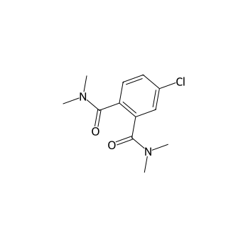 CN(C)C(=O)c1ccc(Cl)cc1C(=O)N(C)C